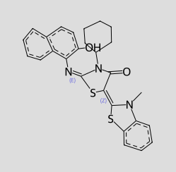 CN1/C(=C2/S/C(=N/c3c(O)ccc4ccccc34)N(C3CCCCC3)C2=O)Sc2ccccc21